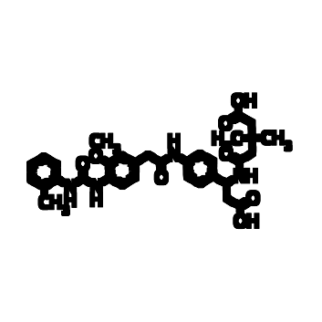 COc1cc(CC(=O)Nc2ccc(C(CC(=O)O)NC(=O)CC(C)(C)CC(=O)O)cc2)ccc1NC(=O)Nc1ccccc1C